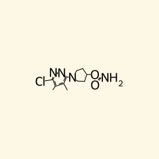 Cc1c(Cl)nnc(N2CCC(OC(N)=O)CC2)c1C